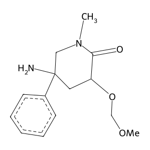 COCOC1CC(N)(c2ccccc2)CN(C)C1=O